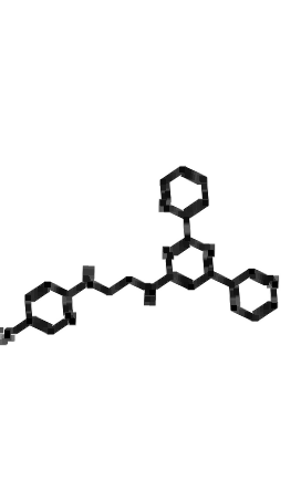 FC(F)(F)c1ccc(NCCNc2cc(-c3cccnc3)nc(-c3ccccn3)n2)nc1